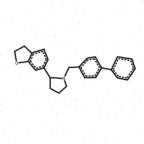 c1ccc(-c2ccc(CN3CCCC3c3ccc4c(c3)OCC4)cc2)cc1